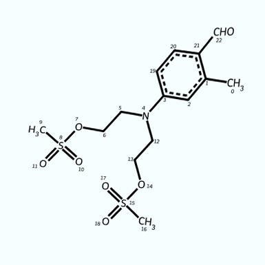 Cc1cc(N(CCOS(C)(=O)=O)CCOS(C)(=O)=O)ccc1C=O